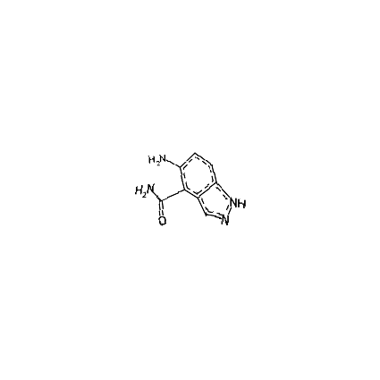 NC(=O)c1c(N)ccc2[nH]ncc12